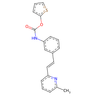 Cc1cccc(C=Cc2cccc(NC(=O)Oc3cccs3)c2)n1